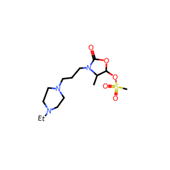 CCN1CCN(CCCN2C(=O)OC(OS(C)(=O)=O)C2C)CC1